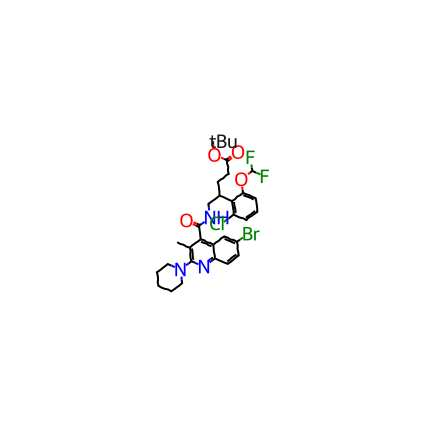 Cc1c(N2CCCCC2)nc2ccc(Br)cc2c1C(=O)NCC(CCC(=O)OC(C)(C)C)c1c(Cl)cccc1OC(F)F